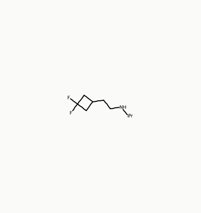 CC(C)NCCC1CC(F)(F)C1